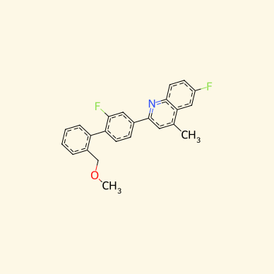 COCc1ccccc1-c1ccc(-c2cc(C)c3cc(F)ccc3n2)cc1F